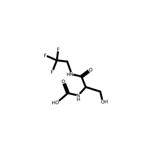 O=C(O)NC(CO)C(=O)NCC(F)(F)F